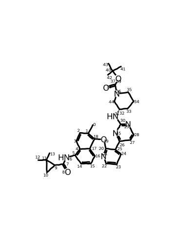 Cc1ccc2c(NC(=O)C3CC3(C)C)cccc2c1Oc1ncccc1-c1ccnc(N[C@H]2CCCN(C(=O)OC(C)(C)C)C2)n1